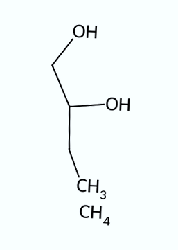 C.CCC(O)CO